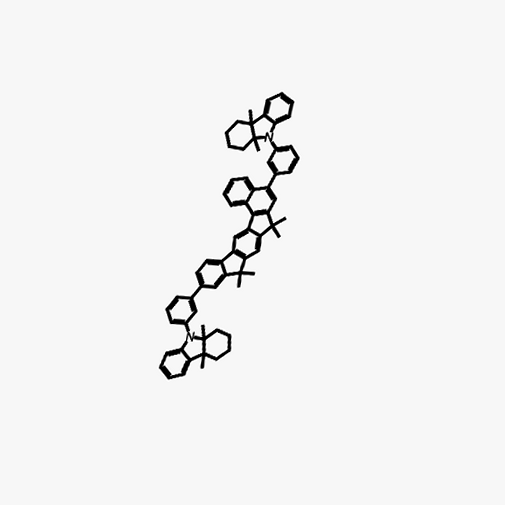 CC1(C)c2cc(-c3cccc(N4c5ccccc5C5(C)CCCCC45C)c3)ccc2-c2cc3c(cc21)C(C)(C)c1cc(-c2cccc(N4c5ccccc5C5(C)CCCCC45C)c2)c2ccccc2c1-3